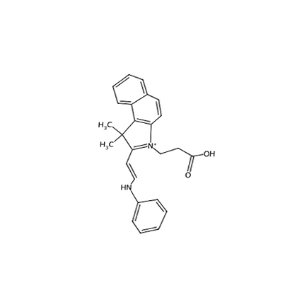 CC1(C)C(/C=C/Nc2ccccc2)=[N+](CCC(=O)O)c2ccc3ccccc3c21